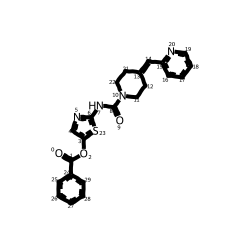 O=C(Oc1cnc(NC(=O)N2CCC(=Cc3ccccn3)CC2)s1)c1ccccc1